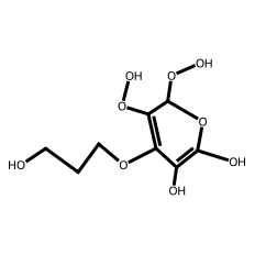 OCCCOC1=C(OO)C(OO)OC(O)=C1O